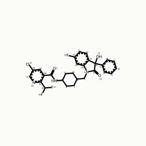 O=C(NC1CCC(CN2C(=O)C(O)(c3ccccc3)c3ccc(F)cc32)CC1)c1cc(Cl)cnc1C(F)F